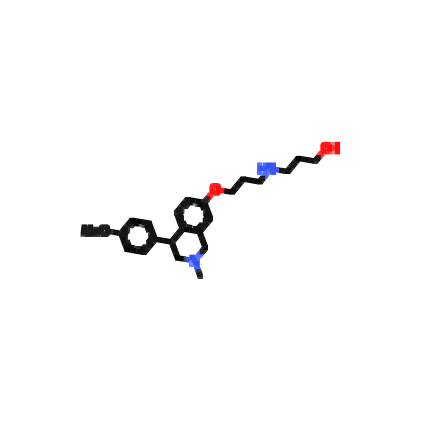 COc1ccc(C2CN(C)Cc3cc(OCCCNCCCO)ccc32)cc1